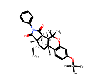 COC[C@H]1C[C@H]2c3ccc(O[Si](C(C)C)(C(C)C)C(C)C)cc3OC(C)(C)[C@H]2[C@H]2C(=O)N(c3ccccc3)C(=O)[C@@H]12